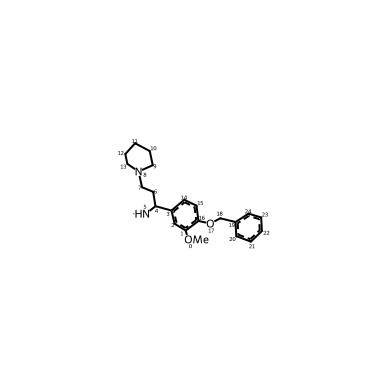 COc1cc(C([NH])CCN2CCCCC2)ccc1OCc1ccccc1